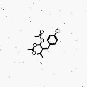 CC(=O)OC(OC(C)=O)C(=Cc1ccc(Cl)cc1)C(C)C